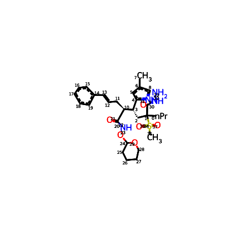 CCCC(C[C@@H](c1cc(C)c[nH]1)[C@H](C/C=C/c1ccccc1)C(=O)NOC1CCCCO1)(C(=O)NN)S(C)(=O)=O